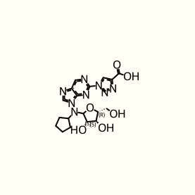 O=C(O)c1cn(-c2ncc3ncn(N(C4CCCC4)C4O[C@H](CO)[C@@H](O)[C@@H]4O)c3n2)nn1